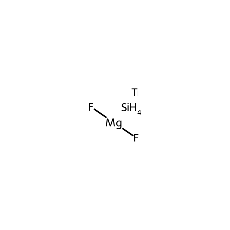 [F][Mg][F].[SiH4].[Ti]